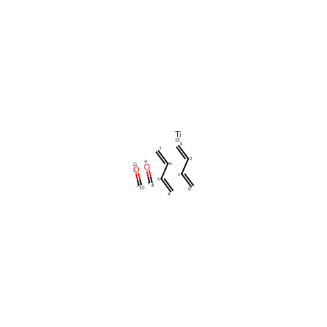 C=CC=C.C=CC=C.[C]=O.[C]=O.[Ti]